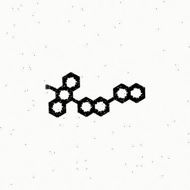 Brc1c2ccccc2c(-c2ccc3ccc(-c4ccc5ccccc5c4)cc3c2)c2ccccc12